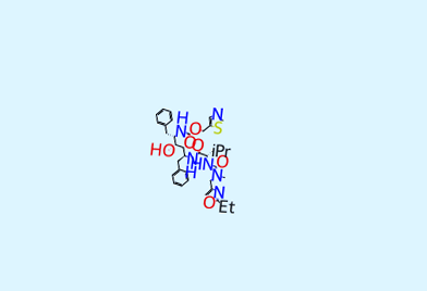 CCc1nc(CN(C)C(=O)N[C@H](C(=O)N[C@@H](Cc2ccccc2)C[C@H](O)[C@H](Cc2ccccc2)NC(=O)OCc2cncs2)C(C)C)co1